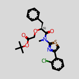 CN(C(=O)[C@H](Cc1ccccc1)OCC(=O)OC(C)(C)C)c1nc(-c2ccccc2Cl)cs1